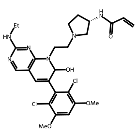 C=CC(=O)N[C@H]1CCN(CCN2c3nc(NCC)ncc3C=C(c3c(Cl)c(OC)cc(OC)c3Cl)C2O)C1